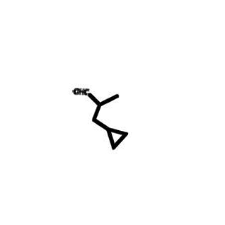 CC([C]=O)CC1CC1